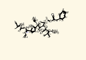 CC(C)NC(=O)N/C(=N/C=N)c1ccc([C@]2(C#N)O[C@H](COC(=O)Cc3ccccc3)[C@@H](OC(=O)[C@@H](N)C(C)C)[C@H]2O)[nH]1